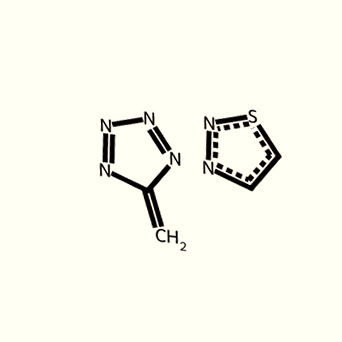 C=C1N=NN=N1.c1csnn1